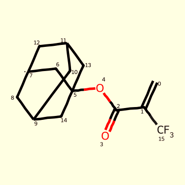 C=C(C(=O)OC12C[C]3CC(CC(C3)C1)C2)C(F)(F)F